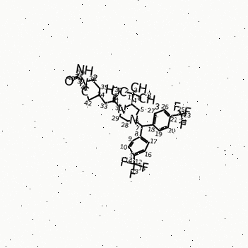 CC(C)(C)[C@H]1CN(C(c2ccc(C(F)(F)F)cc2)c2ccc(C(F)(F)F)cc2)CCN1C(=O)CC1CCN(C(N)=O)CC1